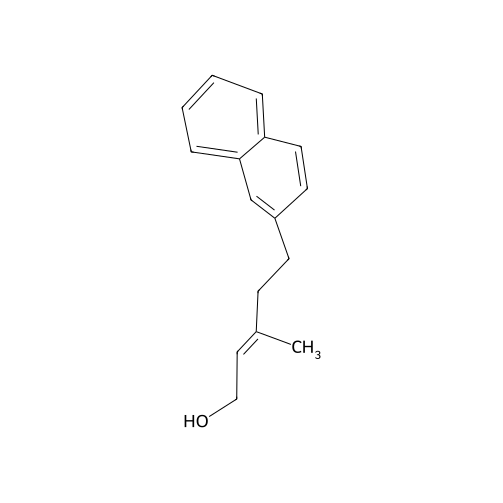 C/C(=C\CO)CCc1ccc2ccccc2c1